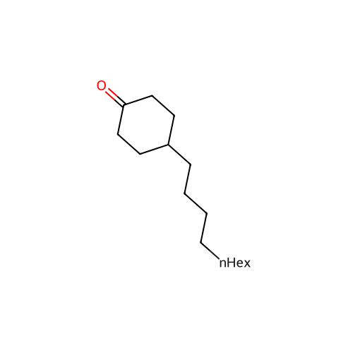 CCCCCCCCCCC1CCC(=O)CC1